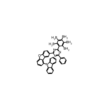 Bc1c(B)c(B)c(-c2nc(-c3ccccc3)nc(-c3ccc4oc5cccc(-n6c7ccccc7c7ccccc76)c5c4c3)n2)c(B)c1B